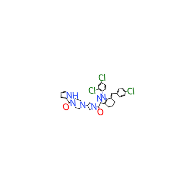 O=C(c1ccc[nH]1)N1CCN(C2CN(C(=O)c3nn(-c4ccc(Cl)cc4Cl)c4c3CCCC4=Cc3ccc(Cl)cc3)C2)CC1